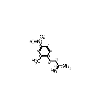 Cc1cc([N+](=O)[O-])ccc1CCC(=N)N